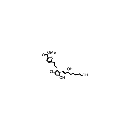 COC(=O)c1ccc(CCC[C@@H]2[C@@H](/C=C/[C@@H](O)CCCCCO)[C@H](O)C[C@H]2Cl)s1